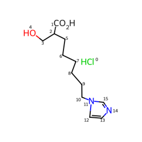 Cl.O=C(O)C(CO)CCCCCCn1ccnc1